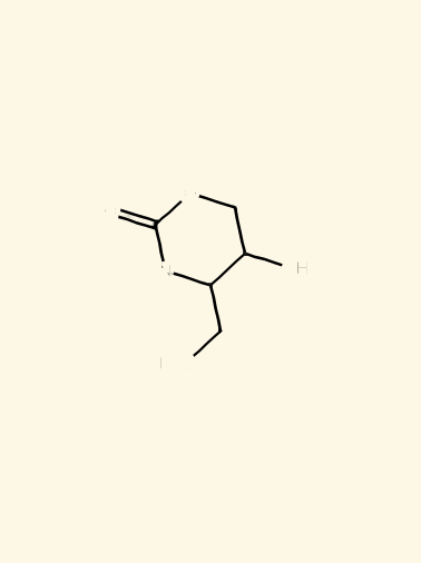 CCC1NC(=O)OCC1C